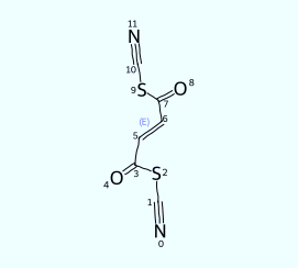 N#CSC(=O)/C=C/C(=O)SC#N